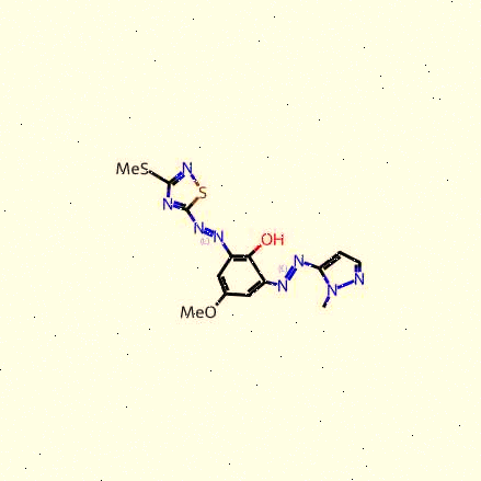 COc1cc(/N=N/c2nc(SC)ns2)c(O)c(/N=N/c2ccnn2C)c1